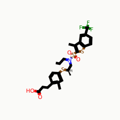 CCCN(C[C@@H](C)Sc1ccc(CCC(=O)O)c(C)c1)S(=O)(=O)c1sc2ccc(C(F)(F)F)cc2c1C